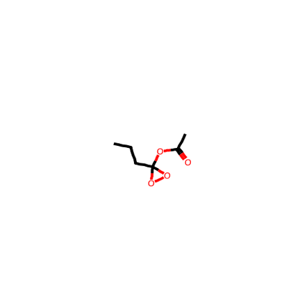 CCCC1(OC(C)=O)OO1